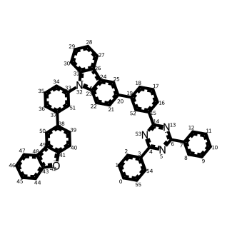 c1ccc(-c2nc(-c3ccccc3)nc(-c3cccc(-c4ccc5c(c4)c4ccccc4n5-c4cccc(-c5ccc6oc7ccccc7c6c5)c4)c3)n2)cc1